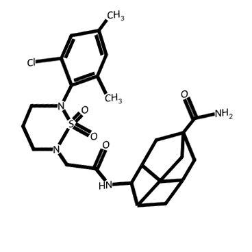 Cc1cc(C)c(N2CCCN(CC(=O)NC3C4CC5CC3CC(C(N)=O)(C5)C4)S2(=O)=O)c(Cl)c1